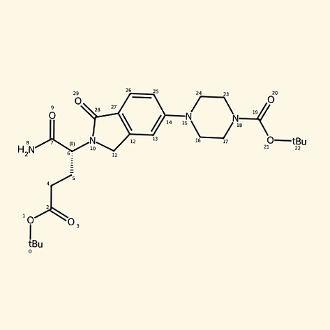 CC(C)(C)OC(=O)CC[C@H](C(N)=O)N1Cc2cc(N3CCN(C(=O)OC(C)(C)C)CC3)ccc2C1=O